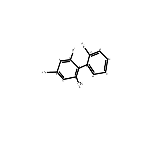 N#Cc1cc(F)cc(F)c1-c1ccccc1F